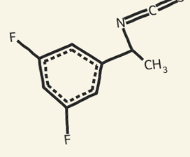 CC(N=C=S)c1cc(F)cc(F)c1